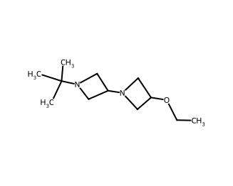 CCOC1CN(C2CN(C(C)(C)C)C2)C1